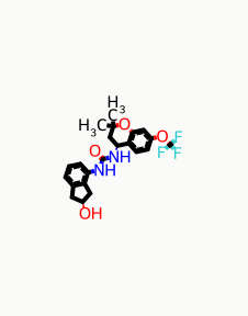 CC1(C)C[C@@H](NC(=O)Nc2cccc3c2C[C@H](O)C3)c2ccc(OC(F)(F)F)cc2O1